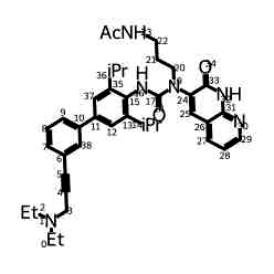 CCN(CC)CC#Cc1cccc(-c2cc(C(C)C)c(NC(=O)N(CCCNC(C)=O)c3cc4cccnc4[nH]c3=O)c(C(C)C)c2)c1